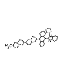 Cc1ccc2cc(C3=CC=C4C=C(c5c6ccccc6c(-c6nc7ccccc7n6C6C=CCCC6)c6ccccc56)C=CC4C3)ccc2c1